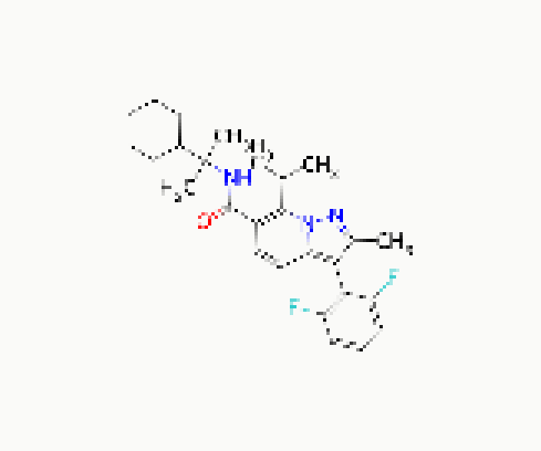 Cc1nn2c(C(C)C)c(C(=O)NC(C)(C)C3CCCCC3)ccc2c1-c1c(F)cccc1F